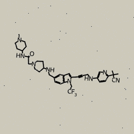 CN1CCC(NC(=O)CN2CCC(NCc3ccc4c(c3)cc(C#CCNc3ccc(C(C)(C)C#N)nc3)n4CC(F)(F)F)CC2)CC1